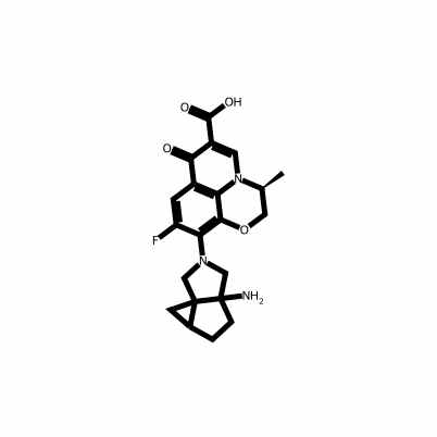 C[C@H]1COc2c(N3CC4(N)CCC5CC54C3)c(F)cc3c(=O)c(C(=O)O)cn1c23